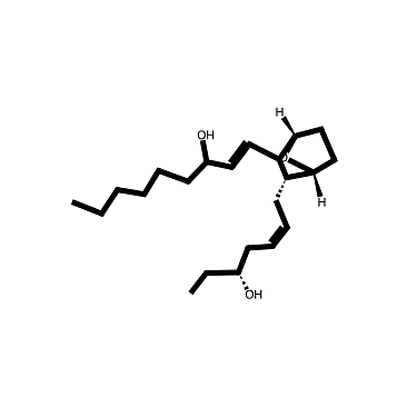 CCCCCCC(O)/C=C/C1[C@@H]2CC[C@@H](O2)[C@@H]1C/C=C\C[C@H](O)CC